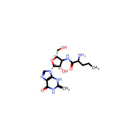 C=C1NC(=O)c2ncn([C@@H]3O[C@H](CO)C(NC(=O)C(N)CCC)[C@@H]3O)c2N1